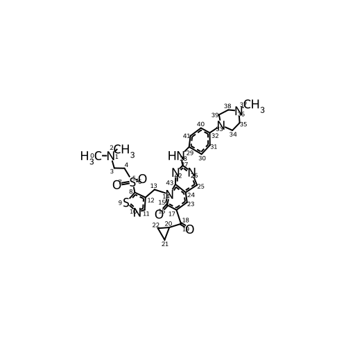 CN(C)CCS(=O)(=O)c1sncc1Cn1c(=O)c(C(=O)C2CC2)cc2cnc(Nc3ccc(N4CCN(C)CC4)cc3)nc21